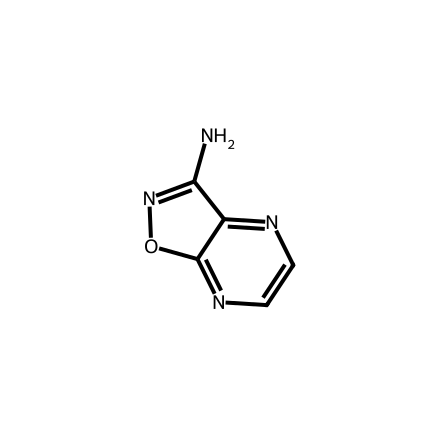 Nc1noc2nccnc12